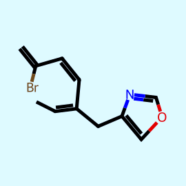 C=C(Br)/C=C\C(=C/C)Cc1cocn1